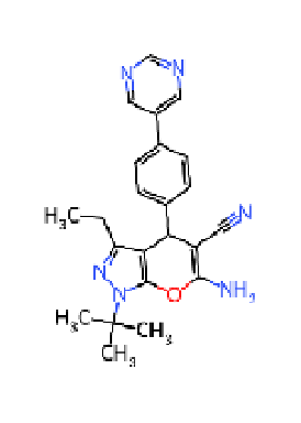 CCc1nn(C(C)(C)C)c2c1C(c1ccc(-c3cncnc3)cc1)C(C#N)=C(N)O2